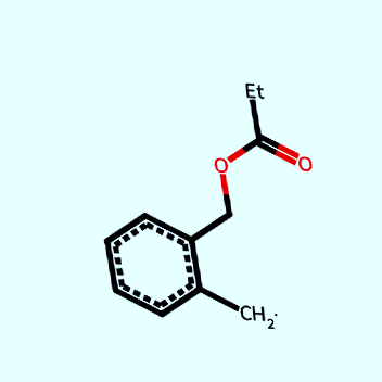 [CH2]c1ccccc1COC(=O)CC